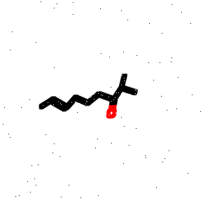 CC=CCCCC(=O)C(C)C